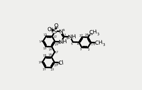 Cc1ccc(CNC2=NS(=O)(=O)c3cccc(Cc4ccccc4Cl)c3N2)cc1C